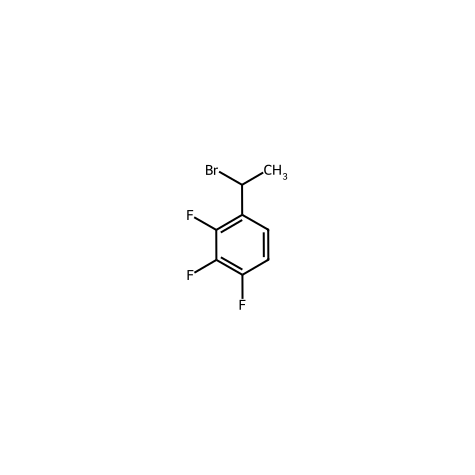 CC(Br)c1ccc(F)c(F)c1F